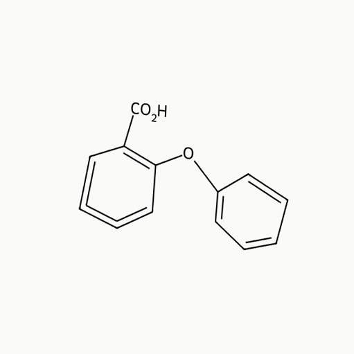 O=C(O)C1=C(Oc2ccccc2)C=C=C=C1